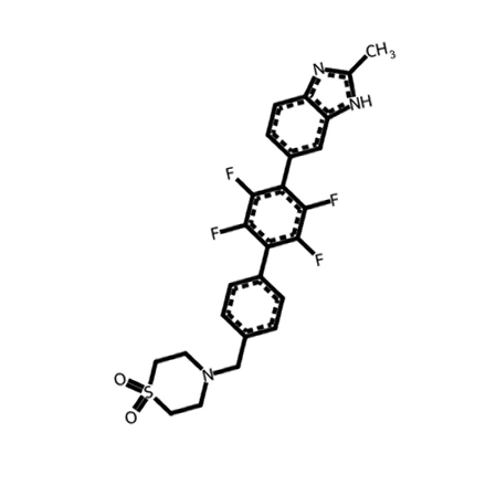 Cc1nc2ccc(-c3c(F)c(F)c(-c4ccc(CN5CCS(=O)(=O)CC5)cc4)c(F)c3F)cc2[nH]1